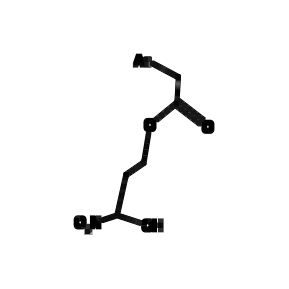 CC(=O)CC(=O)OCCC(O)[N+](=O)[O-]